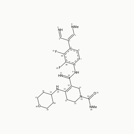 CN/C=C(\C=N)c1ccc(NC(=N)C2=C(NC3CCOCC3)CCN(C(=O)NC)C2)c(F)c1F